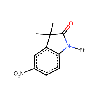 CCN1C(=O)C(C)(C)c2cc([N+](=O)[O-])ccc21